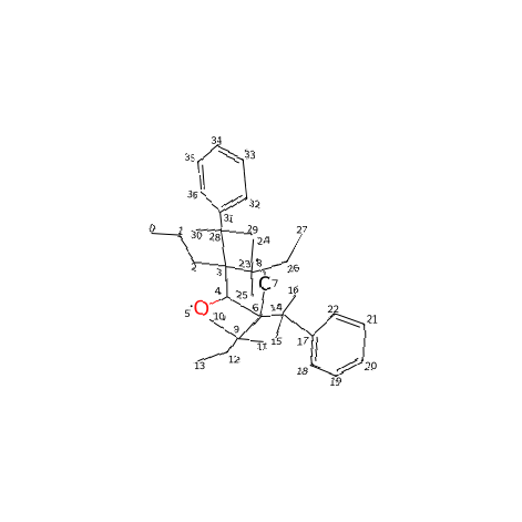 CCCC(C([O])C(CC)(C(C)(C)CC)C(C)(C)c1ccccc1)(C(C)(C)CC)C(C)(C)c1ccccc1